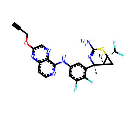 C#CCOc1cnc2c(Nc3cc(F)c(F)c([C@@]4(C)N=C(N)S[C@@]5(C(F)F)C[C@@H]45)c3)nccc2n1